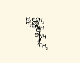 CCC#CNC(=O)CONC(=O)OC(C)(C)C